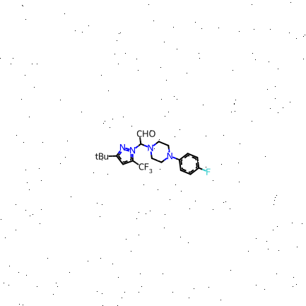 CC(C)(C)c1cc(C(F)(F)F)n(C(C=O)N2CCN(c3ccc(F)cc3)CC2)n1